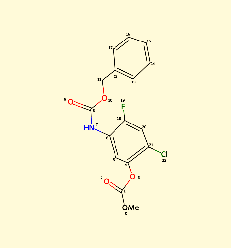 COC(=O)Oc1cc(NC(=O)OCc2ccccc2)c(F)cc1Cl